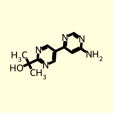 CC(C)(O)c1ncc(-c2cc(N)ncn2)cn1